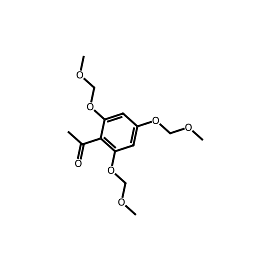 COCOc1cc(OCOC)c(C(C)=O)c(OCOC)c1